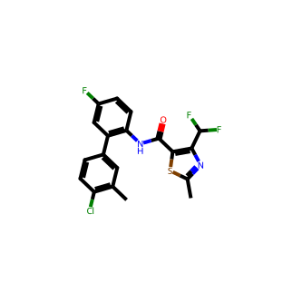 Cc1nc(C(F)F)c(C(=O)Nc2ccc(F)cc2-c2ccc(Cl)c(C)c2)s1